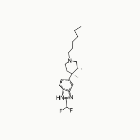 CCCCCCN1CC[C@](C)(c2ccc3[nH]c(C(F)F)nc3c2)[C@@H](C)C1